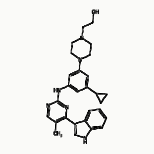 Cc1cnc(Nc2cc(C3CC3)cc(N3CCN(CCO)CC3)c2)nc1-c1c[nH]c2ccccc12